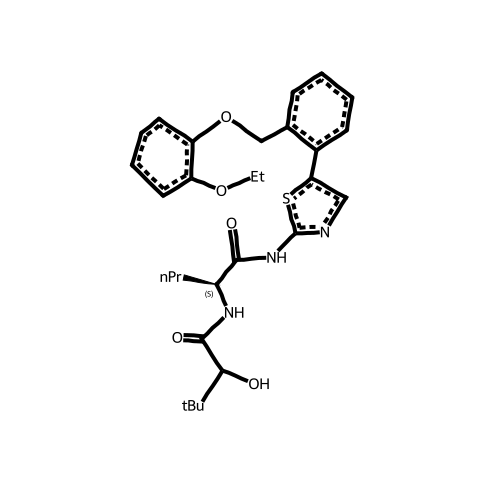 CCC[C@H](NC(=O)C(O)C(C)(C)C)C(=O)Nc1ncc(-c2ccccc2COc2ccccc2OCC)s1